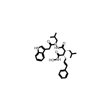 CC(C)C[C@@H](C(=O)NN(CC(C)C)C(=O)Cc1c[nH]c2ccccc12)[C@H](CC=Cc1ccccc1)C(=O)NO